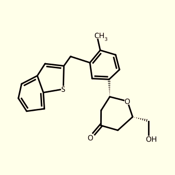 Cc1ccc([C@H]2CC(=O)C[C@@H](CO)O2)cc1Cc1cc2ccccc2s1